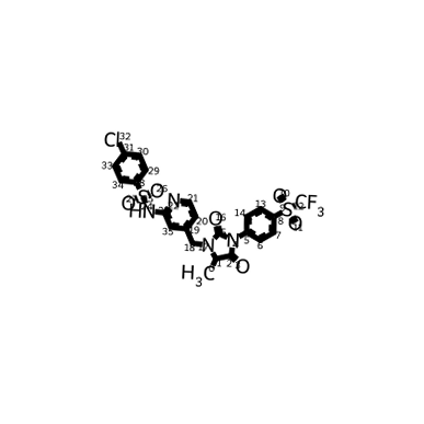 CC1C(=O)N(c2ccc(S(=O)(=O)C(F)(F)F)cc2)C(=O)N1Cc1ccnc(NS(=O)(=O)c2ccc(Cl)cc2)c1